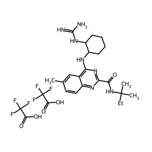 CCC(C)(C)NC(=O)c1nc(NC2CCCCC2NC(=N)N)c2cc(C)ccc2n1.O=C(O)C(F)(F)F.O=C(O)C(F)(F)F